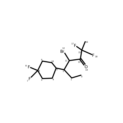 CCC(C1CCC(F)(F)CC1)C(Br)C(=O)C(C)(F)F